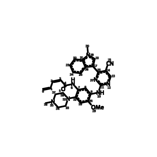 C=C/C=C\C(=O)Nc1cc(Nc2ncc(C#N)c(-c3cn(C)c4ccccc34)n2)c(OC)cc1N1CCN(C)CC1